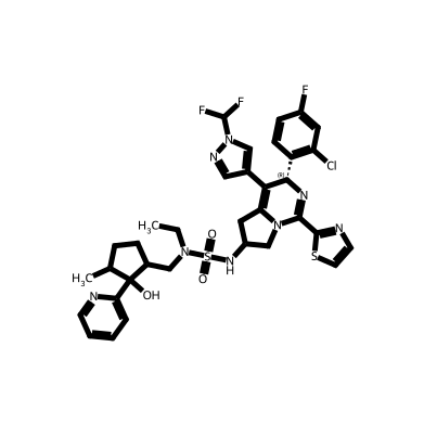 CCN(CC1CCC(C)C1(O)c1ccccn1)S(=O)(=O)NC1CC2=C(c3cnn(C(F)F)c3)[C@H](c3ccc(F)cc3Cl)N=C(c3nccs3)N2C1